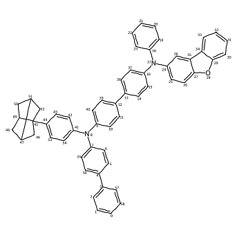 c1ccc(-c2ccc(N(c3ccc(-c4ccc(N(c5ccccc5)c5ccc6oc7ccccc7c6c5)cc4)cc3)c3ccc(C45CC6CC4CC6C5)cc3)cc2)cc1